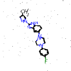 Cc1cnn(-c2nc3cc(N4CCN(c5ccc(F)cc5)CC4)ccc3[nH]2)c1